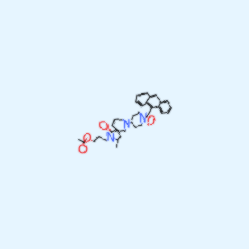 CC(=O)OCCCN1C(=O)C2(CCCN(C3CCN(C(=O)c4c5ccccc5cc5ccccc45)CC3)C2)CC1C